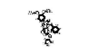 CCC(C)Oc1cc(S(=O)(=O)N(Cc2ccccc2)[C@H](NC(=O)O[C@H]2CCOC2)[C@@H](C)O)ccc1OC